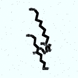 CC(C)[O-].CC(C)[O-].CC(C)[O-].CCCCCCCCCCCCCCCCCC(=O)O.CCCCCCCCCCCCCCCCCC(=O)[O-].[Ti+4]